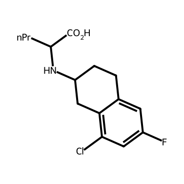 CCCC(NC1CCc2cc(F)cc(Cl)c2C1)C(=O)O